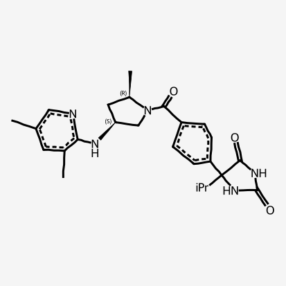 Cc1cnc(N[C@H]2C[C@@H](C)N(C(=O)c3ccc(C4(C(C)C)NC(=O)NC4=O)cc3)C2)c(C)c1